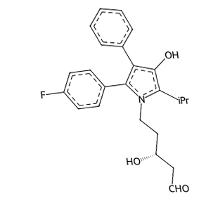 CC(C)c1c(O)c(-c2ccccc2)c(-c2ccc(F)cc2)n1CC[C@@H](O)CC=O